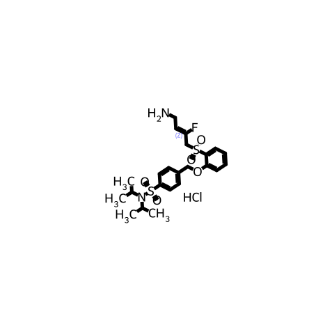 CC(C)N(C(C)C)S(=O)(=O)c1ccc(COc2ccccc2S(=O)(=O)C/C(F)=C/CN)cc1.Cl